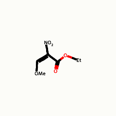 CCOC(=O)/C(=C\OC)[N+](=O)[O-]